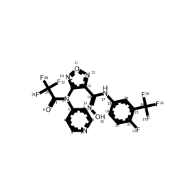 O=C(N(c1ccncc1)c1nonc1C(=NO)Nc1ccc(F)c(C(F)(F)F)c1)C(F)(F)F